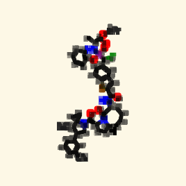 CCCOC(=O)[C@H](C)NP(=O)(Oc1ccccc1)[C@@H](F)c1ccc2sc(C(=O)NC3CCCC[C@H]4CC[C@@H](C(=O)N5CC(c6cccc(C#N)c6)[C@H](C#N)C56CC6)N4C3=O)cc2c1